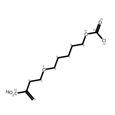 C=C(CCOCCCCCOC(=O)Cl)C(=O)O